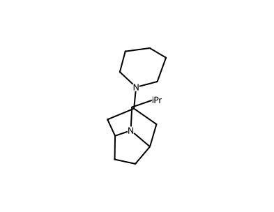 CC(C)CN1C2CCC1CC(N1CCCCC1)C2